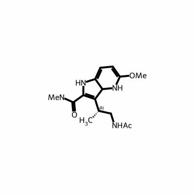 CNC(=O)C1=C([C@@H](C)CNC(C)=O)C2NC(OC)=CC=C2N1